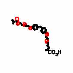 C=C(C)C(=O)OCCOCCOc1ccc(Cc2ccc(OCCOCCC=C(C)C(=O)O)cc2)cc1